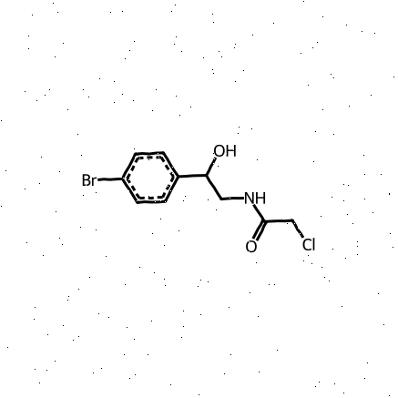 O=C(CCl)NCC(O)c1ccc(Br)cc1